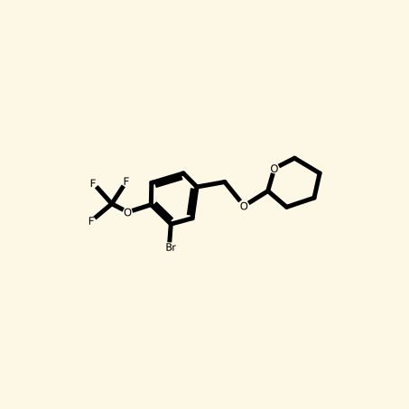 FC(F)(F)Oc1ccc(COC2CCCCO2)cc1Br